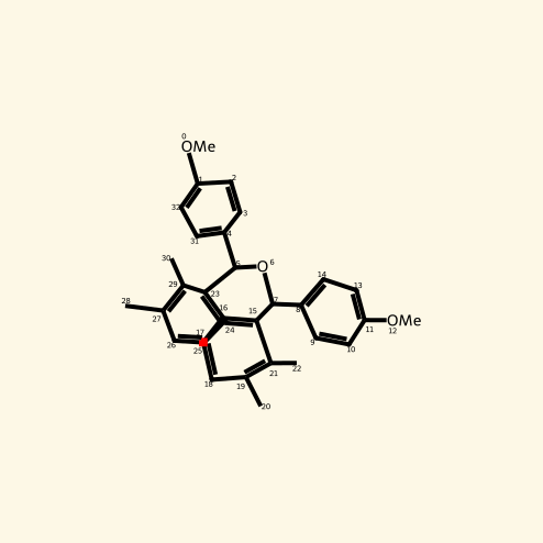 COc1ccc(C(OC(c2ccc(OC)cc2)c2cccc(C)c2C)c2cccc(C)c2C)cc1